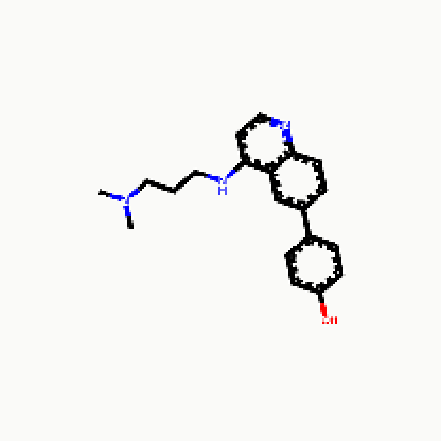 CN(C)CCCNc1ccnc2ccc(-c3ccc(O)cc3)cc12